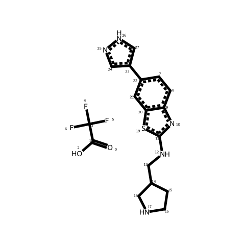 O=C(O)C(F)(F)F.c1cc2nc(NCC3CCNC3)sc2cc1-c1cn[nH]c1